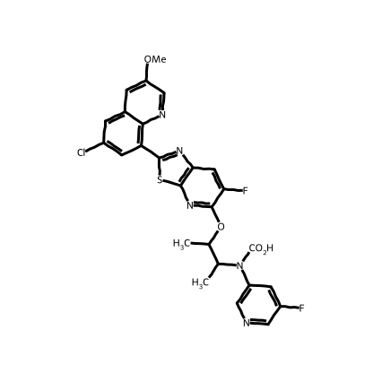 COc1cnc2c(-c3nc4cc(F)c(OC(C)C(C)N(C(=O)O)c5cncc(F)c5)nc4s3)cc(Cl)cc2c1